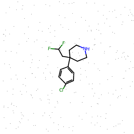 FC(F)CC1(c2ccc(Cl)cc2)CCNCC1